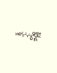 CCC(C(C)=O)C(OC)C(=O)CCCCCO